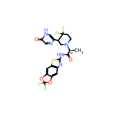 C[C@@H](C(=O)Nc1nc2cc3c(cc2s1)OC(F)(F)O3)N1CCC(F)(F)C(c2c[nH]c(=O)cn2)C1